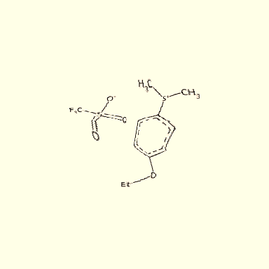 CCOc1ccc([S+](C)C)cc1.O=S(=O)([O-])C(F)(F)F